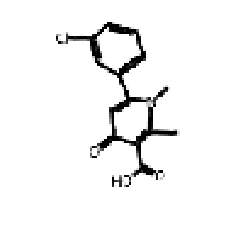 Cc1c(C(=O)O)c(=O)cc(-c2cccc(Cl)c2)n1C